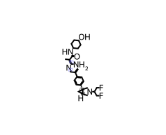 C=C(/C=N\C(N)=C(/C)C(=O)N[C@H]1CC[C@H](O)CC1)c1ccc([C@]23C[C@H]2CN(C(CF)CF)C3)cc1